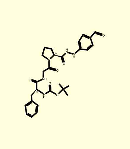 CC(C)(C)OC(=O)N[C@@H](Cc1ccccc1)C(=O)NCC(=O)N1CCC[C@H]1C(=O)NNc1ccc([C]=O)cc1